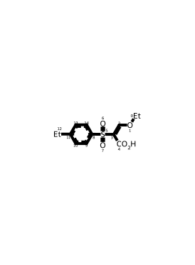 CCO/C=C(\C(=O)O)S(=O)(=O)c1ccc(CC)cc1